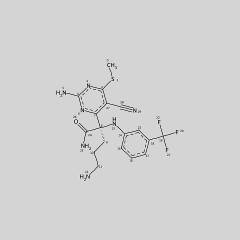 CSc1nc(N)nc([C@@](CCCN)(Nc2cccc(C(F)(F)F)c2)C(N)=O)c1C#N